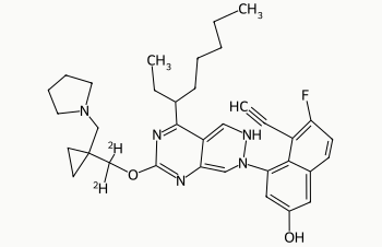 [2H]C([2H])(Oc1nc(C(CC)CCCCC)c2c(n1)=CN(c1cc(O)cc3ccc(F)c(C#C)c13)NC=2)C1(CN2CCCC2)CC1